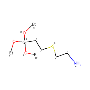 CCO[Si](CCSCCN)(OCC)OCC